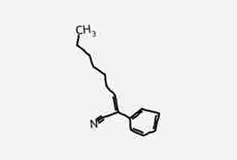 CCCCCCC=C(C#N)c1ccccc1